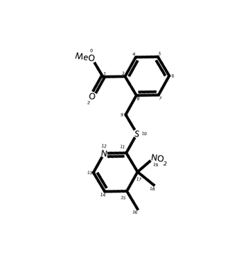 COC(=O)c1ccccc1CSC1=NC=CC(C)C1(C)[N+](=O)[O-]